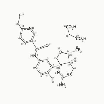 NC1=N[C@@]2(c3cc(NC(=O)c4cnc(CF)cn4)ccc3F)CO[C@H](C(F)(F)F)[C@H]2CS1.O=C(O)CC(=O)O